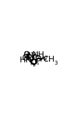 CCCOc1cccc2c1C(N)=NS(=O)(=O)N2